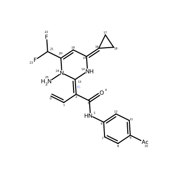 C=C/C(C(=O)Nc1ccc(C(C)=O)cc1)=C1/NC(=C2CC2)C=C(C(F)F)N1N